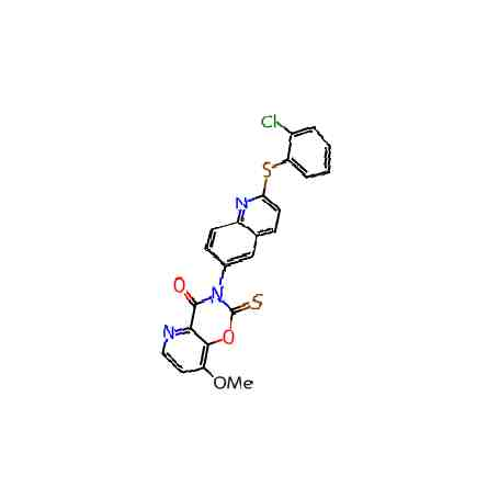 COc1ccnc2c(=O)n(-c3ccc4nc(Sc5ccccc5Cl)ccc4c3)c(=S)oc12